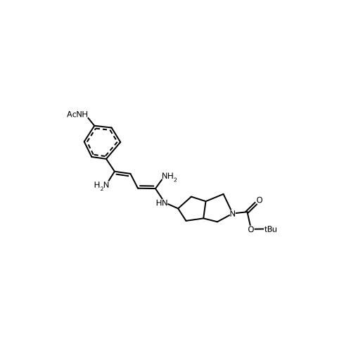 CC(=O)Nc1ccc(/C(N)=C/C=C(\N)NC2CC3CN(C(=O)OC(C)(C)C)CC3C2)cc1